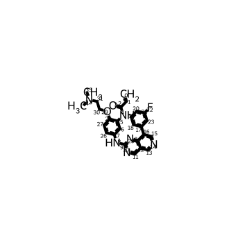 C=CC(=O)Nc1cc(Nc2ncc3cncc(-c4cccc(F)c4)c3n2)ccc1OCCN(C)C